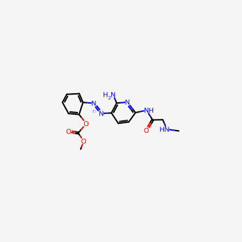 CNCC(=O)Nc1ccc(/N=N/c2ccccc2OC(=O)OC)c(N)n1